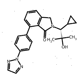 CC(C)(O)[C@@H](C1CC1)N1Cc2cccc(-c3ccc(-n4nccn4)cc3)c2C1=O